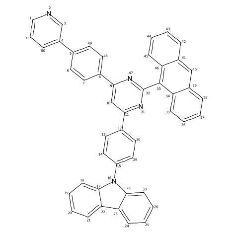 c1cncc(-c2ccc(-c3cc(-c4ccc(-n5c6ccccc6c6ccccc65)cc4)nc(-c4c5ccccc5cc5ccccc45)n3)cc2)c1